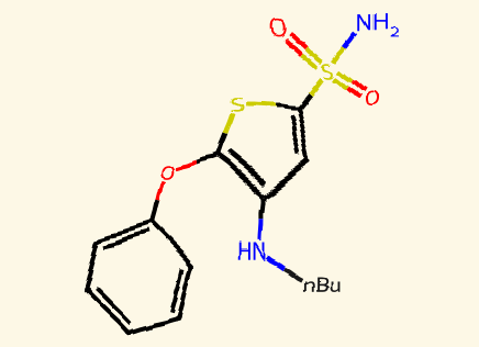 CCCCNc1cc(S(N)(=O)=O)sc1Oc1ccccc1